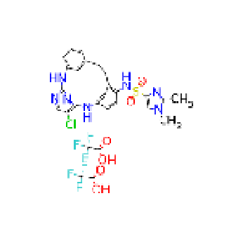 Cc1nc(S(=O)(=O)Nc2ccc3cc2CCc2cccc(c2)Nc2ncc(Cl)c(n2)N3)cn1C.O=C(O)C(F)(F)F.O=C(O)C(F)(F)F